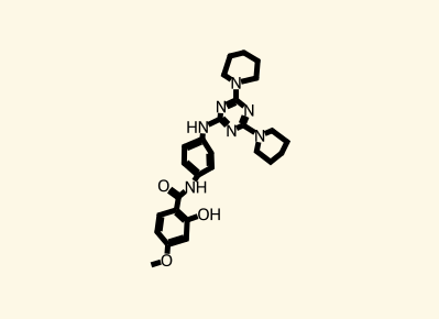 COc1ccc(C(=O)Nc2ccc(Nc3nc(N4CCCCC4)nc(N4CCCCC4)n3)cc2)c(O)c1